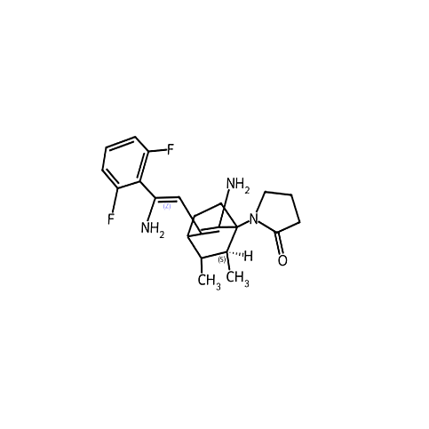 CC1C2CCC(N3CCCC3=O)(C(N)=C2/C=C(\N)c2c(F)cccc2F)[C@H]1C